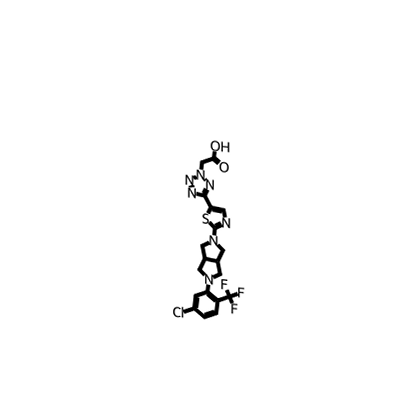 O=C(O)Cn1nnc(-c2cnc(N3CC4CN(c5cc(Cl)ccc5C(F)(F)F)CC4C3)s2)n1